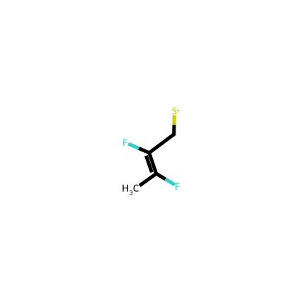 C/C(F)=C(\F)C[S]